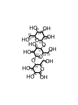 OCC1OC(O)[C@@H](O)C(O)[C@@H]1O[C@H]1OC(CO)[C@@H](O[C@H]2OC(CO)[C@@H](O)[C@H](O)C2O)[C@H](O)C1O